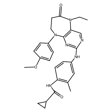 CCN1C(=O)CCN(c2ccc(OC)cc2)c2nc(Nc3ccc(NC(=O)C4CC4)c(C)c3)ncc21